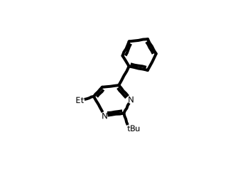 CCc1cc(-c2ccccc2)nc(C(C)(C)C)n1